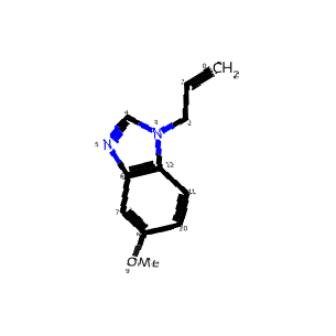 C=CCn1cnc2cc(OC)ccc21